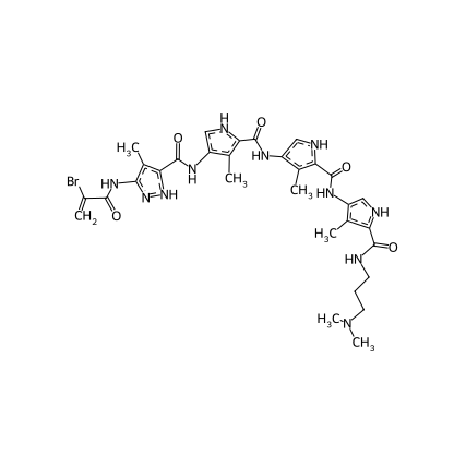 C=C(Br)C(=O)Nc1n[nH]c(C(=O)Nc2c[nH]c(C(=O)Nc3c[nH]c(C(=O)Nc4c[nH]c(C(=O)NCCCN(C)C)c4C)c3C)c2C)c1C